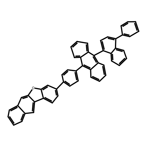 c1ccc(-c2ccc(-c3c4ccccc4c(-c4ccc(-c5ccc6c(c5)oc5cc7ccccc7cc56)cc4)c4ccccc34)c3ccccc23)cc1